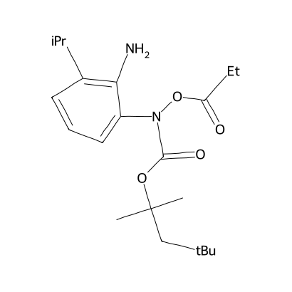 CCC(=O)ON(C(=O)OC(C)(C)CC(C)(C)C)c1cccc(C(C)C)c1N